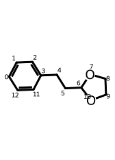 c1ccc(CCC2OCCO2)cc1